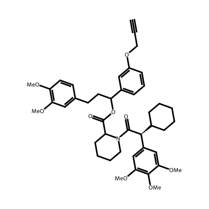 C#CCOc1cccc(C(CCc2ccc(OC)c(OC)c2)OC(=O)C2CCCCN2C(=O)[C@H](c2cc(OC)c(OC)c(OC)c2)C2CCCCC2)c1